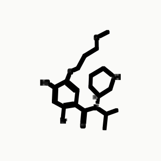 COCCCOc1cc(C(=O)N(C(C)C)[C@@H]2CCCNC2)c(Br)cc1O